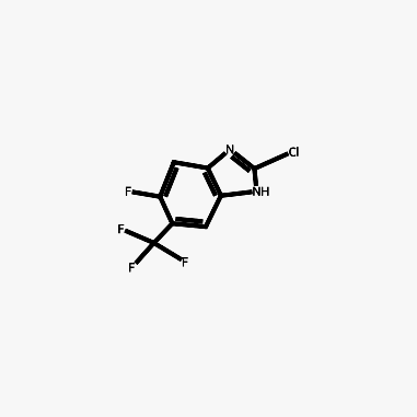 Fc1cc2nc(Cl)[nH]c2cc1C(F)(F)F